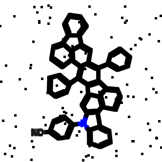 N#Cc1ccc(-n2c3ccccc3c3c4cccc5c6c(-c7ccccc7)c7cc8c9ccccc9c9cccc(c7c(-c7ccccc7)c6c(cc32)c54)c98)cc1